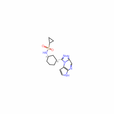 O=S(=O)(N[C@H]1CCC[C@@H](c2nnc3cnc4[nH]ccc4n23)C1)C1CC1